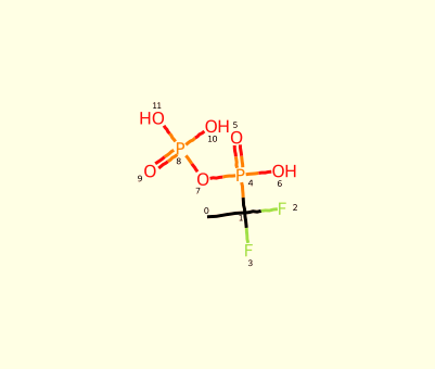 CC(F)(F)P(=O)(O)OP(=O)(O)O